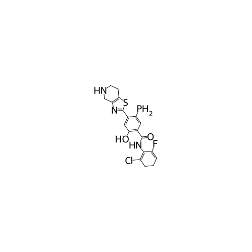 O=C(NC1=C(Cl)CCC=C1F)c1cc(P)c(-c2nc3c(s2)CCNC3)cc1O